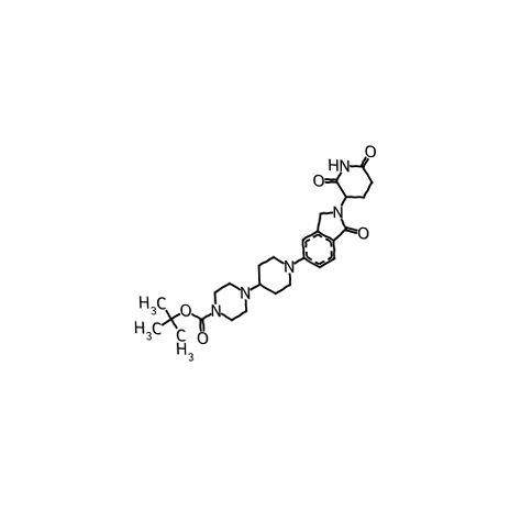 CC(C)(C)OC(=O)N1CCN(C2CCN(c3ccc4c(c3)CN(C3CCC(=O)NC3=O)C4=O)CC2)CC1